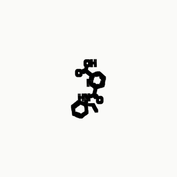 CC[C@]1(NC(=O)c2cccc(C(=O)O)n2)C=CC=CC1